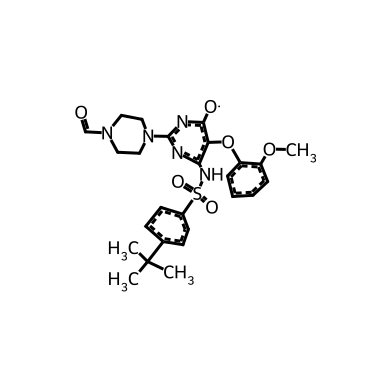 COc1ccccc1Oc1c([O])nc(N2CCN(C=O)CC2)nc1NS(=O)(=O)c1ccc(C(C)(C)C)cc1